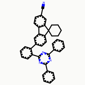 N#Cc1ccc2c(c1)C1(CCCCC1)c1ccc(-c3ccccc3-c3nc(-c4ccccc4)nc(-c4ccccc4)n3)cc1-2